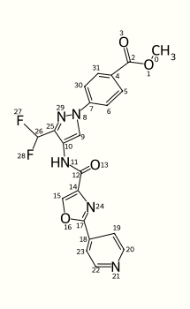 COC(=O)c1ccc(-n2cc(NC(=O)c3coc(-c4ccncc4)n3)c(C(F)F)n2)cc1